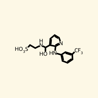 O=S(=O)(O)CCNC(O)c1cccnc1Nc1cccc(C(F)(F)F)c1